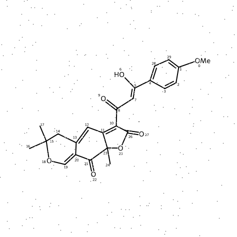 COc1ccc(C(O)=CC(=O)C2=C3C=C4CC(C)(C)OC=C4C(=O)C3(C)OC2=O)cc1